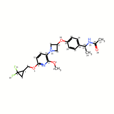 COc1nc(OCC2CC2(F)F)ccc1N1CC(Oc2ccc([C@H](C)NC(C)=O)cc2)C1